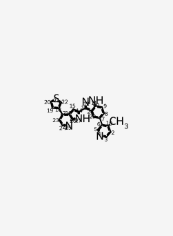 Cc1ccncc1-c1ccc2[nH]nc(-c3cc4c(-c5ccsc5)ccnc4[nH]3)c2c1